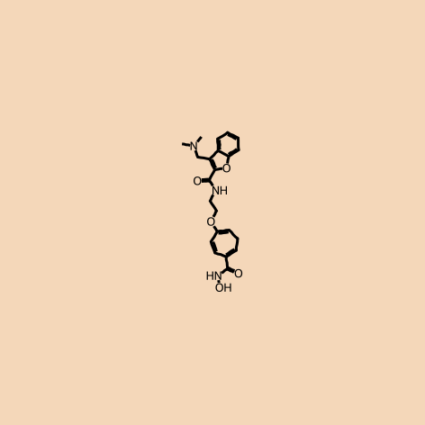 CN(C)Cc1c(C(=O)NCCOC2=CCC=C(C(=O)NO)C=C2)oc2ccccc12